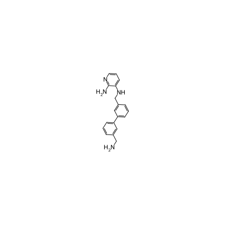 NCc1cccc(-c2cccc(CNc3cccnc3N)c2)c1